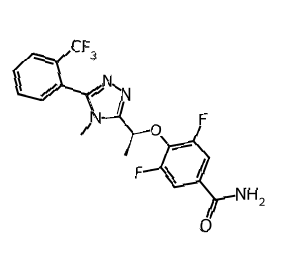 C[C@H](Oc1c(F)cc(C(N)=O)cc1F)c1nnc(-c2ccccc2C(F)(F)F)n1C